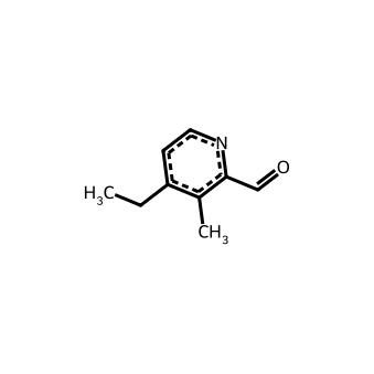 CCc1ccnc(C=O)c1C